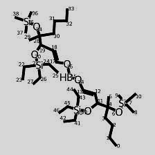 CCCCC(C)(O[Si](C)(C)C)C(C=COBOC=CC(O[Si](CC)(CC)CC)C(C)(CCCC)O[Si](C)(C)C)O[Si](CC)(CC)CC